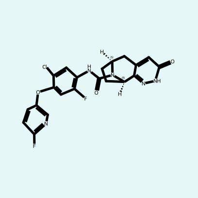 O=C(Nc1cc(Cl)c(Oc2ccc(F)nc2)cc1F)N1[C@H]2CC[C@@H]1c1n[nH]c(=O)cc1C2